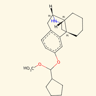 O=C(O)OC(Oc1ccc2c(c1)[C@@]13CCCC[C@H]1[C@@H](C2)NCC3)C1CCCC1